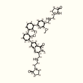 COc1nc(-c2cccc(-c3cccc(-c4cc5c(=O)n(C)c(CNCCN6CCCC6=O)nn5c4)c3Cl)c2Cl)ccc1CNC[C@H]1CCC(=O)N1